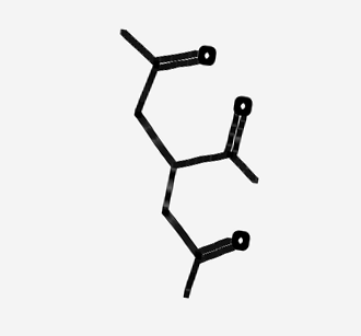 CC(=O)CC(CC(C)=O)C(C)=O